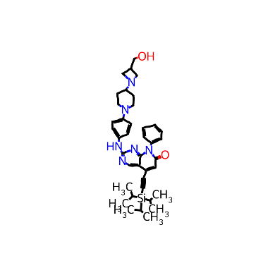 CC(C)[Si](C#Cc1cc(=O)n(-c2ccccc2)c2nc(Nc3ccc(N4CCC(N5CC(CO)C5)CC4)cc3)ncc12)(C(C)C)C(C)C